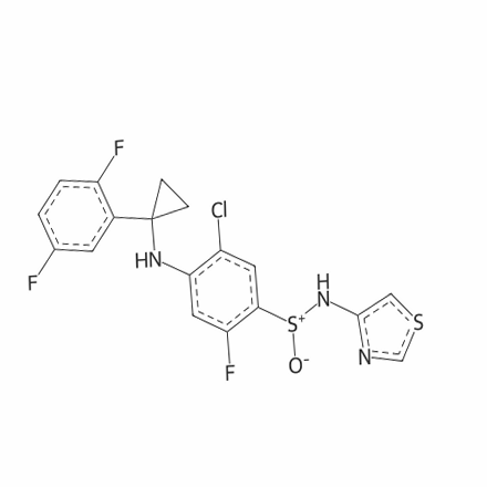 [O-][S+](Nc1cscn1)c1cc(Cl)c(NC2(c3cc(F)ccc3F)CC2)cc1F